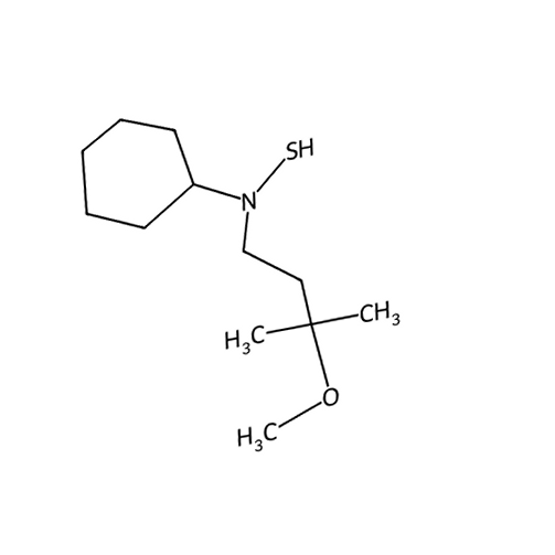 COC(C)(C)CCN(S)C1CCCCC1